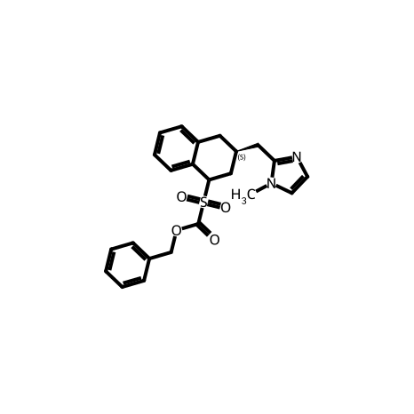 Cn1ccnc1C[C@@H]1Cc2ccccc2C(S(=O)(=O)C(=O)OCc2ccccc2)C1